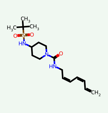 C=C/C=C\C=C/CNC(=O)N1CCC(NS(=O)(=O)C(C)(C)C)CC1